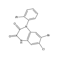 CC(C)c1ccccc1-n1c(=O)c(=O)[nH]c2cc(Cl)c(Br)cc21